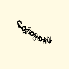 CC(Sc1ncc[nH]1)C1CCN(C(=O)Oc2ccc(NC(=O)c3ccc(CN4CCCCC4)cc3)cc2)CC1